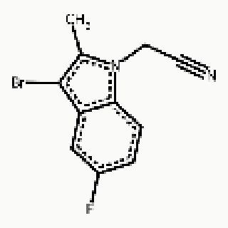 Cc1c(Br)c2cc(F)ccc2n1CC#N